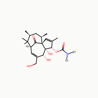 CCN(CC)C(=O)O[C@H]1C(C)=C[C@]23C(=O)[C@@H](C=C(CO)[C@@H](O)[C@]12O)C(C)(C)[C@@H](C)C[C@H]3C